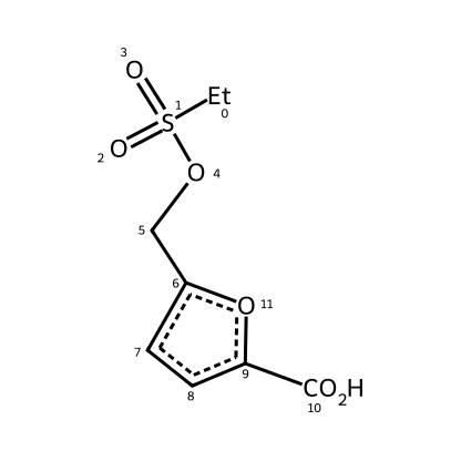 CCS(=O)(=O)OCc1ccc(C(=O)O)o1